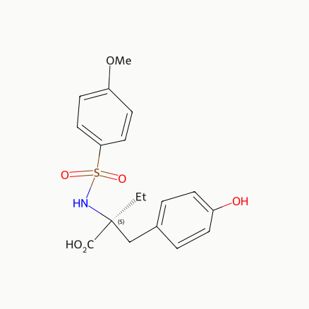 CC[C@@](Cc1ccc(O)cc1)(NS(=O)(=O)c1ccc(OC)cc1)C(=O)O